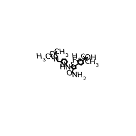 CC1CN(Cc2cccc(Nc3sc(-c4ccc(C(C)(C)O)cc4F)cc3C(N)=O)n2)CC(C)O1